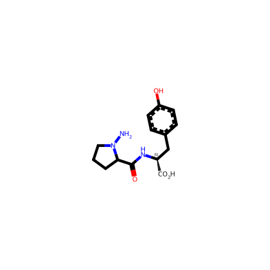 NN1CCCC1C(=O)N[C@@H](Cc1ccc(O)cc1)C(=O)O